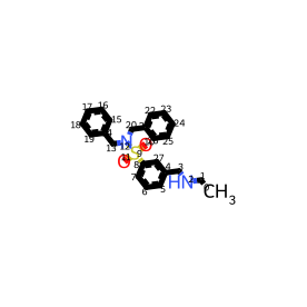 CCNCc1cccc(S(=O)(=O)N(Cc2ccccc2)Cc2ccccc2)c1